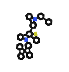 c1ccc(-c2cccc(-n3c4ccccc4c4cc(-c5cc6c7ccccc7n(-c7ccc8c(c7)C7(c9ccccc9-c9ccccc97)c7ccccc7-8)c6c6c5sc5ccccc56)ccc43)c2)cc1